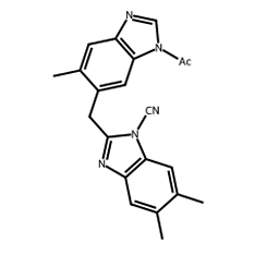 CC(=O)n1cnc2cc(C)c(Cc3nc4cc(C)c(C)cc4n3C#N)cc21